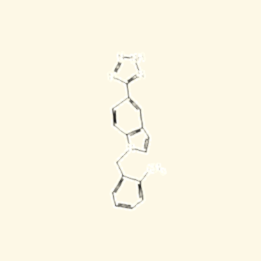 Cc1ccccc1Cn1ccc2cc(-c3nn[nH]n3)ccc21